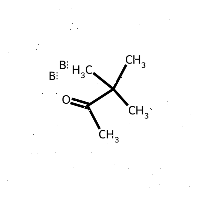 CC(=O)C(C)(C)C.[B].[B]